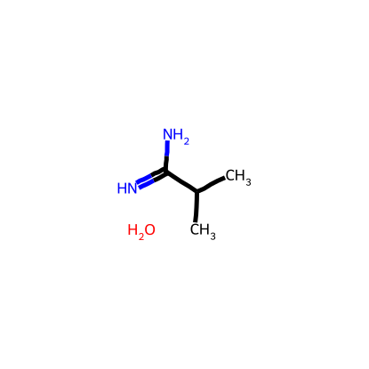 CC(C)C(=N)N.O